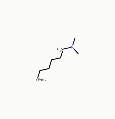 CCCCCCCCC[SiH2]N(C)C